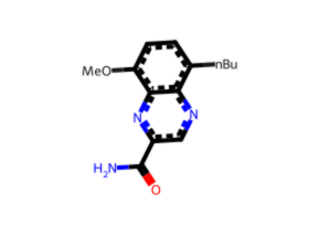 CCCCc1ccc(OC)c2nc(C(N)=O)cnc12